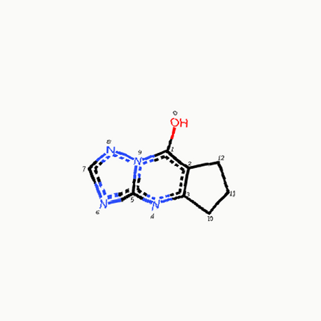 Oc1c2c(nc3ncnn13)CCC2